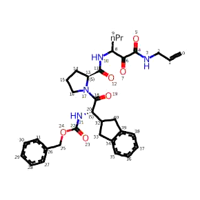 C=CCNC(=O)C(=O)C(CCC)NC(=O)[C@@H]1CCCN1C(=O)[C@@H](NC(=O)OCc1ccccc1)C1Cc2ccccc2C1